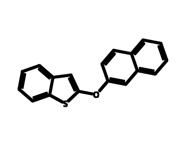 c1ccc2cc(Oc3cc4ccccc4s3)ccc2c1